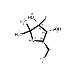 CC1(C)N[C@H](CO)[C@@H](O)[C@]1(O)F